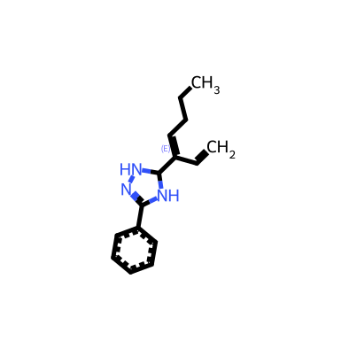 C=C/C(=C\CCC)C1NN=C(c2ccccc2)N1